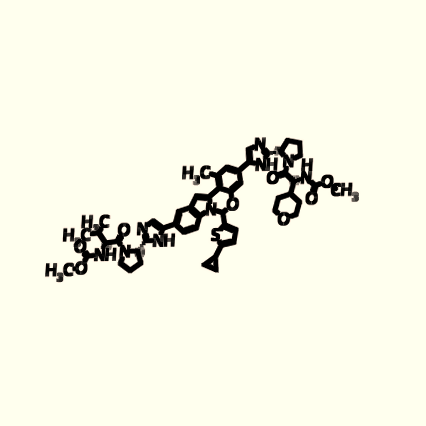 COC(=O)N[C@H](C(=O)N1CCC[C@H]1c1ncc(-c2ccc3c(c2)cc2n3C(c3ccc(C4CC4)s3)Oc3cc(-c4cnc([C@@H]5CCCN5C(=O)[C@@H](NC(=O)OC)C5CCOCC5)[nH]4)cc(C)c3-2)[nH]1)C(C)C